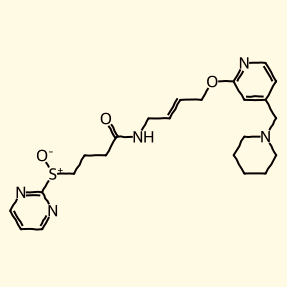 O=C(CCC[S+]([O-])c1ncccn1)NCC=CCOc1cc(CN2CCCCC2)ccn1